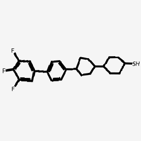 Fc1cc(-c2ccc(C3CCC(C4CCC(S)CC4)CC3)cc2)cc(F)c1F